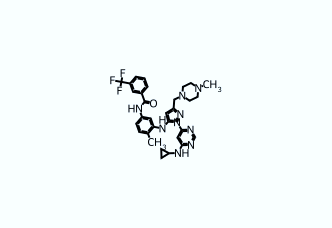 Cc1ccc(NC(=O)c2cccc(C(F)(F)F)c2)cc1Nc1cc(CN2CCN(C)CC2)nn1-c1cc(NC2CC2)ncn1